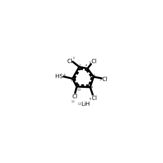 Sc1c(Cl)c(Cl)c(Cl)c(Cl)c1Cl.[LiH]